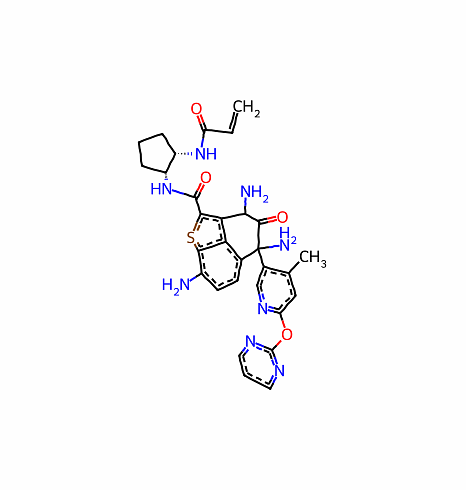 C=CC(=O)N[C@H]1CCC[C@H]1NC(=O)c1sc2c(N)ccc3c2c1C(N)C(=O)C3(N)c1cnc(Oc2ncccn2)cc1C